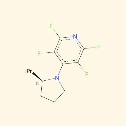 CC(C)[C@@H]1CCCN1c1c(F)c(F)nc(F)c1F